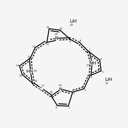 C1=Cc2cc3ccc(cc4nc(cc5ccc(cc1n2)[nH]5)C=C4)[nH]3.[LiH].[LiH]